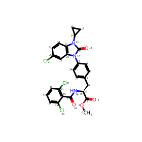 COC(=O)[C@H](Cc1ccc(-n2c(=O)n(C3CC3)c3ccc(Cl)cc32)cc1)NC(=O)c1c(Cl)cccc1Cl